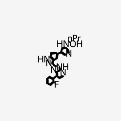 CCCC(O)Nc1cncc(-c2ccc3[nH]nc(-c4nc5c(-c6ccccc6F)ccnc5[nH]4)c3c2)c1